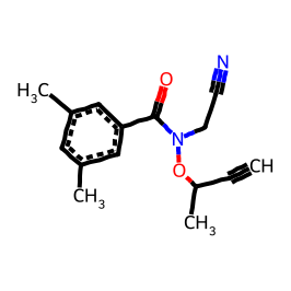 C#CC(C)ON(CC#N)C(=O)c1cc(C)cc(C)c1